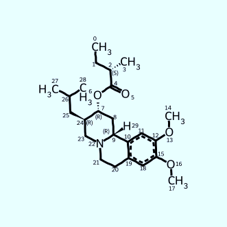 CC[C@H](C)C(=O)O[C@@H]1C[C@@H]2c3cc(OC)c(OC)cc3CCN2C[C@H]1CC(C)C